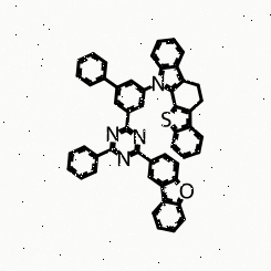 c1ccc(-c2cc(-c3nc(-c4ccccc4)nc(-c4ccc5oc6ccccc6c5c4)n3)cc(-n3c4c(c5ccccc53)CCc3c-4sc4ccccc34)c2)cc1